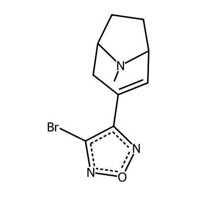 CN1C2C=C(c3nonc3Br)CC1CC2